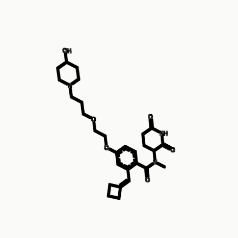 CN(C(=O)c1ccc(OCCOCCCN2CCC(O)CC2)cc1C=C1CCC1)C1CCC(=O)NC1=O